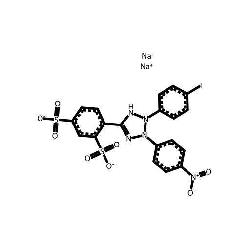 O=[N+]([O-])c1ccc(N2N=C(c3ccc(S(=O)(=O)[O-])cc3S(=O)(=O)[O-])NN2c2ccc(I)cc2)cc1.[Na+].[Na+]